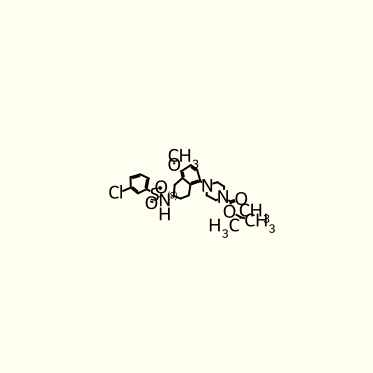 COc1ccc(N2CCN(C(=O)OC(C)(C)C)CC2)c2c1C[C@@H](NS(=O)(=O)c1cccc(Cl)c1)CC2